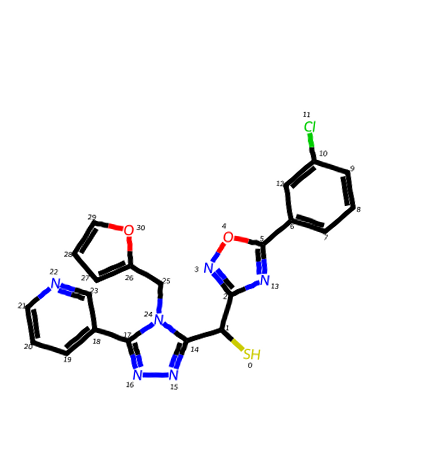 SC(c1noc(-c2cccc(Cl)c2)n1)c1nnc(-c2cccnc2)n1Cc1ccco1